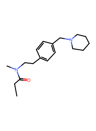 CCC(=O)N(C)CCc1ccc(CN2CCCCC2)cc1